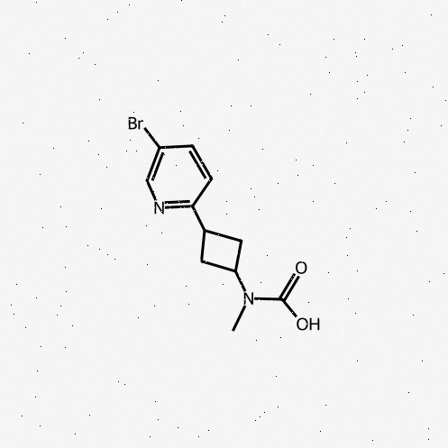 CN(C(=O)O)C1CC(c2ccc(Br)cn2)C1